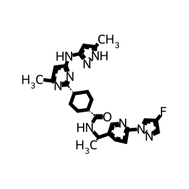 Cc1cc(Nc2cc(C)[nH]n2)nc([C@H]2CC[C@@H](C(=O)N[C@@H](C)c3ccc(-n4cc(F)cn4)nc3)CC2)n1